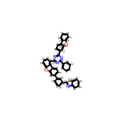 c1ccc(-c2nc(-c3ccc4c(c3)oc3ccccc34)nc(-c3cccc4oc5cc(-c6cccc(-c7nc8ccccc8s7)c6)ccc5c34)n2)cc1